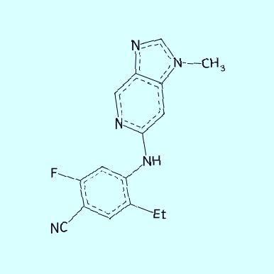 CCc1cc(C#N)c(F)cc1Nc1cc2c(cn1)ncn2C